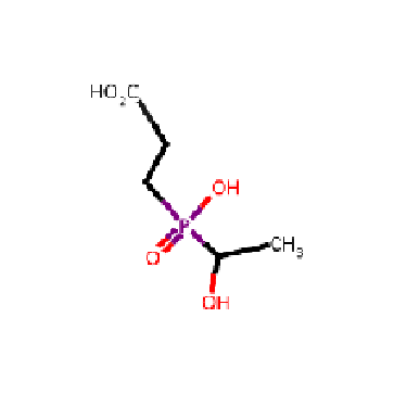 CC(O)P(=O)(O)CCC(=O)O